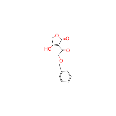 O=C(COCc1ccccc1)C1=C(O)COC1=O